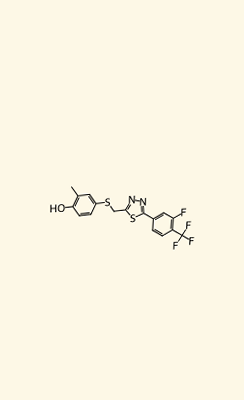 Cc1cc(SCc2nnc(-c3ccc(C(F)(F)F)c(F)c3)s2)ccc1O